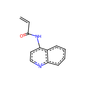 C=CC(=O)Nc1ccnc2ccccc12